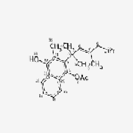 CC(=O)Oc1c(C(C)(C)/C=C(\C)CC(C)C)c(C)c(O)c2ccccc12